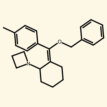 Cc1ccc(C(OCc2ccccc2)=C2CCCCC2N2CCC2)cc1